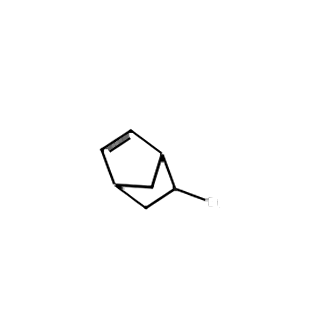 C[CH]C1CC2C=CC1C2